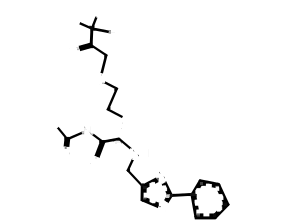 CC(=O)NC(=O)[C@H](CCCSCC(=O)C(F)(F)F)NCc1csc(-c2ccccc2)n1